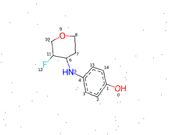 Oc1ccc(NC2CCO[CH]C2F)cc1